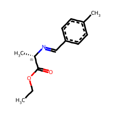 CCOC(=O)[C@H](C)N=Cc1ccc(C)cc1